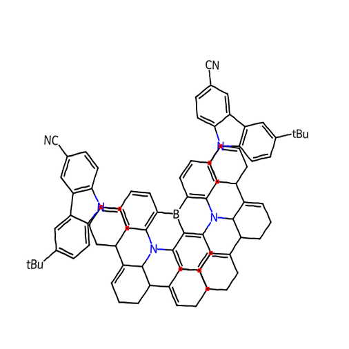 CC(C)(C)c1ccc2c(c1)c1cc(C#N)ccc1n2-c1ccc2c(c1)N(C1C(C3CC=CCC3)=CCCC1C1=CCCCC1)c1cccc3c1B2c1ccc(-n2c4ccc(C#N)cc4c4cc(C(C)(C)C)ccc42)cc1N3C1C(C2CC=CCC2)=CCCC1C1=CCCCC1